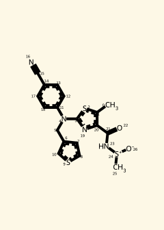 Cc1sc(N(Cc2ccsc2)c2ccc(C#N)cc2)nc1C(=O)N[S+](C)[O-]